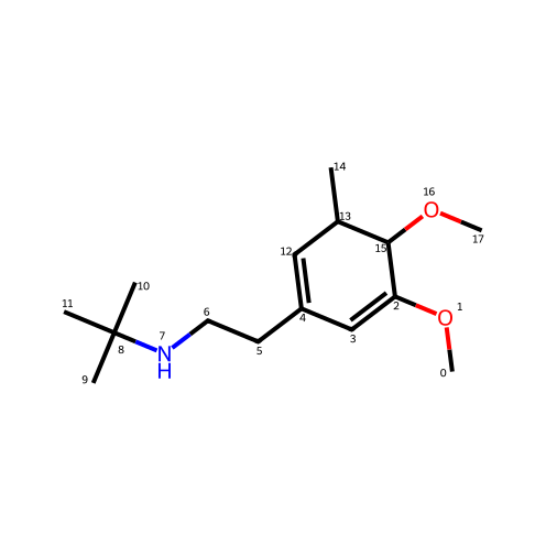 COC1=CC(CCNC(C)(C)C)=CC(C)C1OC